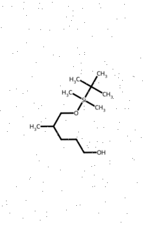 CC(CCCO)CO[Si](C)(C)C(C)(C)C